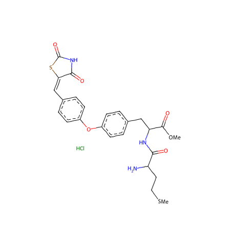 COC(=O)C(Cc1ccc(Oc2ccc(C=C3SC(=O)NC3=O)cc2)cc1)NC(=O)C(N)CCSC.Cl